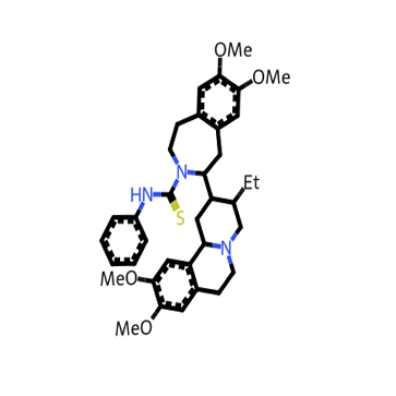 CCC1CN2CCc3cc(OC)c(OC)cc3C2CC1C1Cc2cc(OC)c(OC)cc2CCN1C(=S)Nc1ccccc1